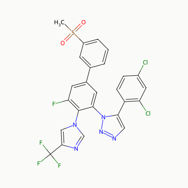 CS(=O)(=O)c1cccc(-c2cc(F)c(-n3cnc(C(F)(F)F)c3)c(-n3nncc3-c3ccc(Cl)cc3Cl)c2)c1